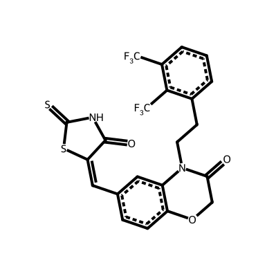 O=C1NC(=S)SC1=Cc1ccc2c(c1)N(CCc1cccc(C(F)(F)F)c1C(F)(F)F)C(=O)CO2